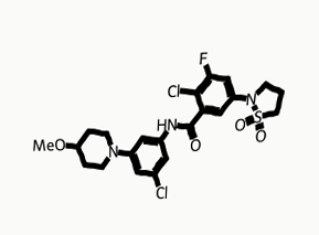 COC1CCN(c2cc(Cl)cc(NC(=O)c3cc(N4CCCS4(=O)=O)cc(F)c3Cl)c2)CC1